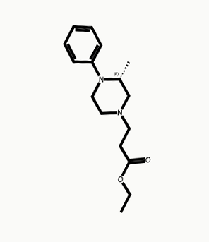 CCOC(=O)CCN1CCN(c2ccccc2)[C@H](C)C1